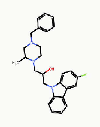 CC1CN(Cc2ccccc2)CCN1CC(O)Cn1c2ccccc2c2cc(F)ccc21